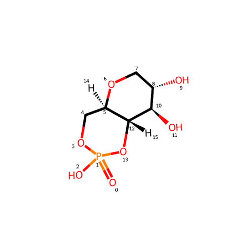 O=P1(O)OC[C@H]2O[CH][C@H](O)[C@@H](O)[C@@H]2O1